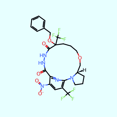 O=C1NNC(=O)C(OCc2ccccc2)(C(F)(F)F)CCCOC[C@@H]2CCCN2c2nc1c([N+](=O)[O-])cc2C(F)(F)F